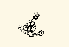 COc1c2c(c3n(c1=O)CCCCN(CCN1CCOCC1)C3=O)CCN(Cc1ccc(F)c(Cl)c1)C2=O